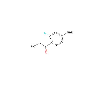 COc1ccc(C(=O)CC#N)c(F)c1